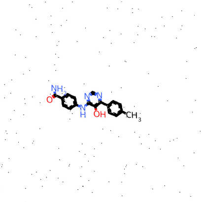 Cc1ccc(-c2ncnc(Nc3ccc(C(N)=O)cc3)c2O)cc1